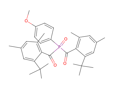 COc1ccc(P(=O)(C(=O)c2c(C)cc(C)cc2C(C)(C)C)C(=O)c2c(C)cc(C)cc2C(C)(C)C)cc1